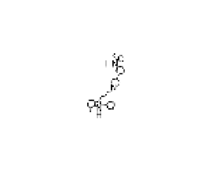 Cc1cccc2c(CCCCN3CCC(c4cccc(NC(=O)C(C)C)c4)CC3)c(-c3ccccc3)[nH]c12